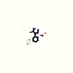 COCc1c(C#N)ncc2c1c1cc(OS(=O)(=O)C(F)(F)F)ccc1n2C(=O)OC(C)(C)C